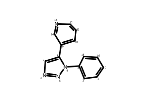 c1ccc(-n2nncc2-c2cccnc2)cc1